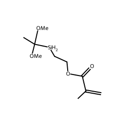 C=C(C)C(=O)OCC[SiH2]C(C)(OC)OC